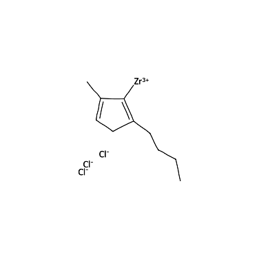 CCCCC1=[C]([Zr+3])C(C)=CC1.[Cl-].[Cl-].[Cl-]